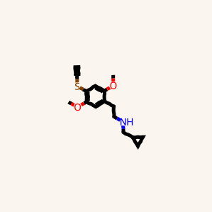 C#CSc1cc(OC)c(CCNCC2CC2)cc1OC